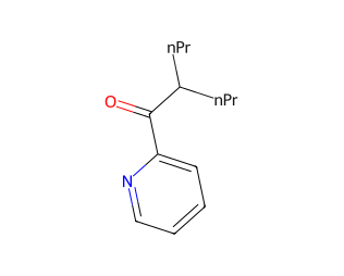 CCCC(CCC)C(=O)c1ccccn1